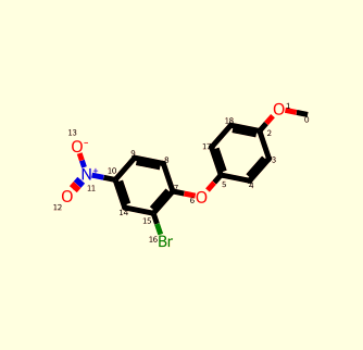 COc1ccc(Oc2ccc([N+](=O)[O-])cc2Br)cc1